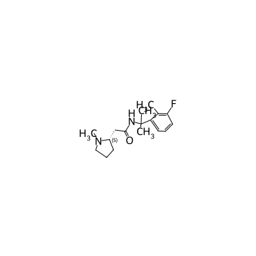 Cc1c(F)cccc1C(C)(C)NC(=O)C[C@@H]1CCCN1C